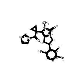 Cn1c(C2(C(=O)n3ccnc3)CC2)c2n(c1=S)CC(c1c(F)ccc(Br)c1F)C2